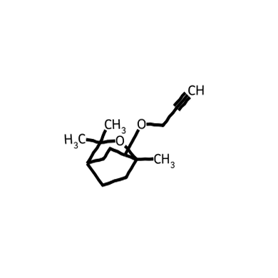 C#CCOC1CCC2CCC1(C)OC2(C)C